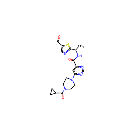 CC(NC(=O)c1cc(N2CCN(C(=O)C3CC3)CC2)ncn1)c1ncc(C=O)s1